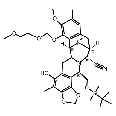 COCCOCOc1c(OC)c(C)cc2c1[C@@H]1C3Cc4c(O)c(C)c5c(c4[C@H](CO[Si](C)(C)C(C)(C)C)N3[C@@H](C#N)[C@H](C2)N1C)OCO5